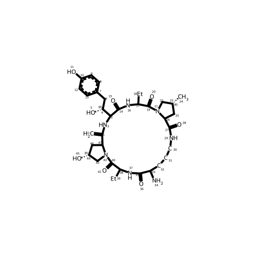 C=C1NC([C@H](O)Cc2ccc(O)cc2)C(=O)NC(CC)C(=O)N2C[C@H](C)CC2C(=O)NCCCC(N)C(=O)NC(CC)C(=O)N2C[C@H](O)CC12